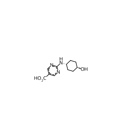 O=C(O)c1cnc(N[C@H]2CC[C@H](O)CC2)nc1